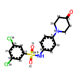 O=C1CCN(c2ccc(NS(=O)(=O)c3cc(Cl)cc(Cl)c3)cc2)CC1